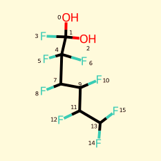 OC(O)(F)C(F)(F)C(F)C(F)C(F)C(F)F